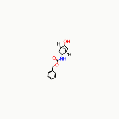 O=C(N[C@@H]1C[C@H]2C[C@@H]1C[C@@H]2O)OCc1ccccc1